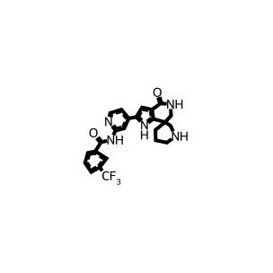 O=C(Nc1cc(-c2cc3c([nH]2)C2(CCCNC2)CNC3=O)ccn1)c1cccc(C(F)(F)F)c1